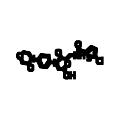 O=C(O)CN(C(=O)CCNC(=O)c1ccc(Cl)s1)c1ccc(N2CCOCC2=O)cc1